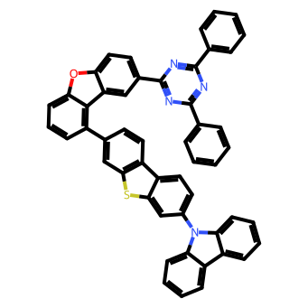 c1ccc(-c2nc(-c3ccccc3)nc(-c3ccc4oc5cccc(-c6ccc7c(c6)sc6cc(-n8c9ccccc9c9ccccc98)ccc67)c5c4c3)n2)cc1